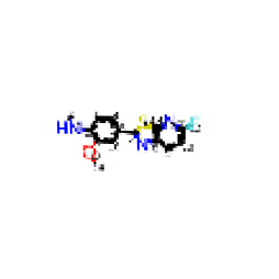 CNc1ccc(-c2nc3ccc(F)nc3s2)cc1OC